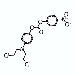 O=C(Oc1ccc(N(CCCl)CCCl)cc1)Oc1ccc([N+](=O)[O-])cc1